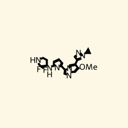 COc1cc2ncc(-c3cccc(NC4CCNCC4(F)F)n3)n2cc1-c1cnn(C2CC2)c1